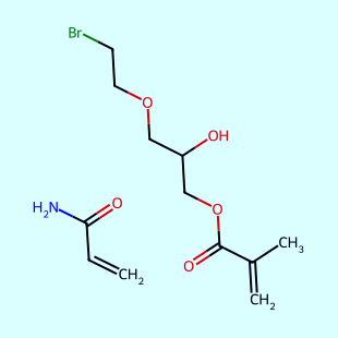 C=C(C)C(=O)OCC(O)COCCBr.C=CC(N)=O